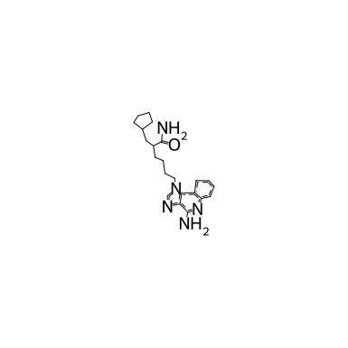 NC(=O)C(CCCCn1cnc2c(N)nc3ccccc3c21)CC1CCCC1